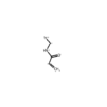 [2H]CNC(=O)C=C